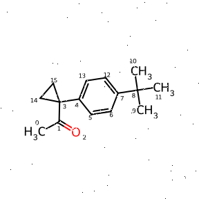 CC(=O)C1(c2ccc(C(C)(C)C)cc2)CC1